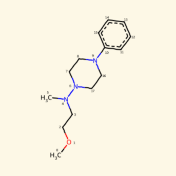 COCCN(C)N1CCN(c2ccccc2)CC1